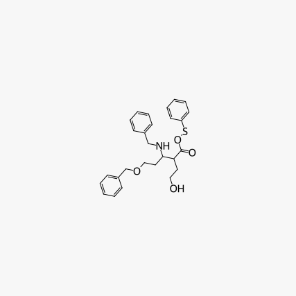 O=C(OSc1ccccc1)C(CCO)C(CCOCc1ccccc1)NCc1ccccc1